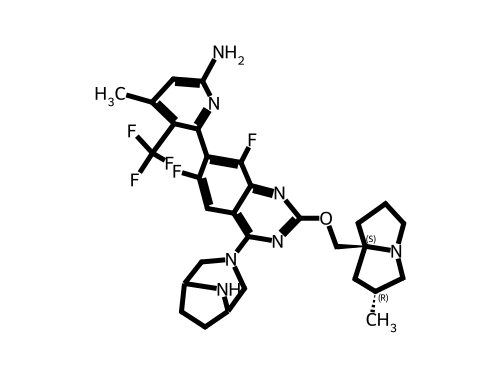 Cc1cc(N)nc(-c2c(F)cc3c(N4CC5CCC(C4)N5)nc(OC[C@@]45CCCN4C[C@H](C)C5)nc3c2F)c1C(F)(F)F